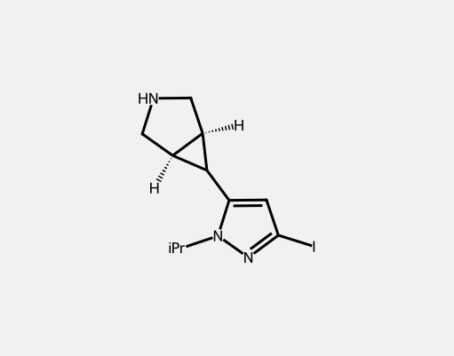 CC(C)n1nc(I)cc1C1[C@H]2CNC[C@@H]12